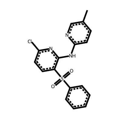 Cc1ccc(Nc2nc(Cl)ccc2S(=O)(=O)c2ccccc2)nc1